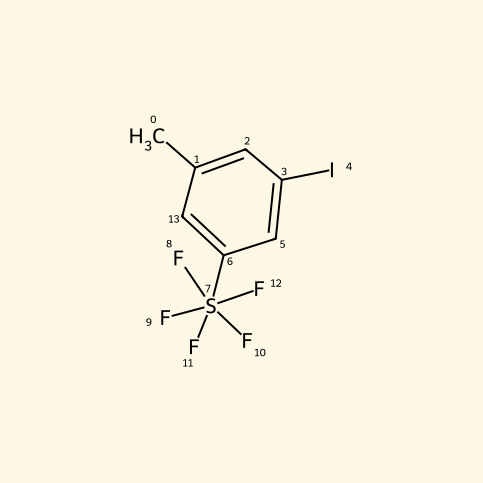 Cc1cc(I)cc(S(F)(F)(F)(F)F)c1